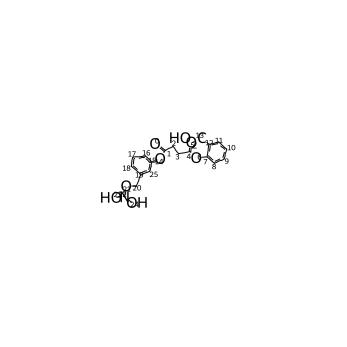 O=C(CCC(=O)Oc1ccccc1C(=O)O)Oc1cccc(CON(O)O)c1